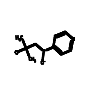 CC(C)([O])C[S+]([O-])c1ccncc1